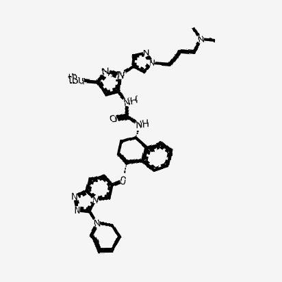 CN(C)CCCn1cc(-n2nc(C(C)(C)C)cc2NC(=O)N[C@H]2CC[C@@H](Oc3ccc4nnc(N5CCCCC5)n4c3)c3ccccc32)cn1